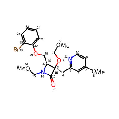 COCO[C@@]1(Cc2cc(OC)ccn2)C(=O)N(COC)[C@H]1COc1ccccc1Br